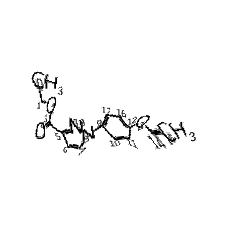 CCOC(=O)c1ccn(-c2ccc(OCC)cc2)n1